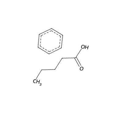 CCCCC(=O)O.c1ccccc1